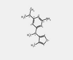 Cc1cocc1N(C)c1nc(N)nc(N(C)C)n1